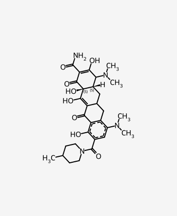 CC1CCN(C(=O)c2cc(N(C)C)c3c(c2O)C(=O)C2=C(O)[C@]4(O)C(=O)C(C(N)=O)=C(O)C(N(C)C)[C@@H]4CC2C3)CC1